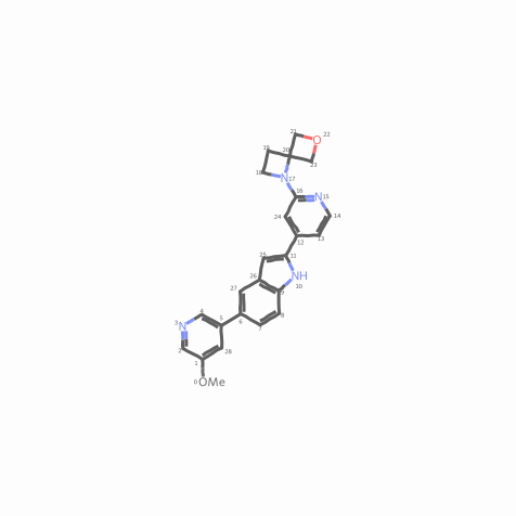 COc1cncc(-c2ccc3[nH]c(-c4ccnc(N5CCC56COC6)c4)cc3c2)c1